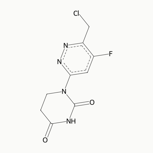 O=C1CCN(c2cc(F)c(CCl)nn2)C(=O)N1